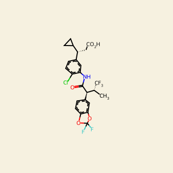 C[C@H]([C@H](C(=O)Nc1cc([C@@H](CC(=O)O)C2CC2)ccc1Cl)c1ccc2c(c1)OC(F)(F)O2)C(F)(F)F